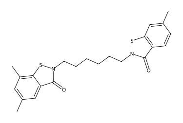 Cc1ccc2c(=O)n(CCCCCCn3sc4c(C)cc(C)cc4c3=O)sc2c1